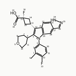 Cc1cc(-n2c(C3CCOCC3)c([C@H]3C[C@](F)(C(=O)O)C3)c3cc4[nH]ncc4cc32)ccc1F